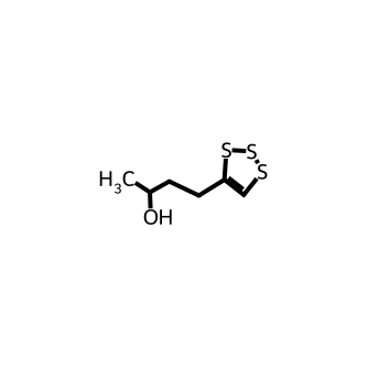 CC(O)CCC1=CSSS1